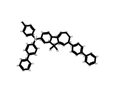 Cc1ccc(N(C2=CC3C(C=C2)C2=CCCC(c4ccc(-c5ccccc5)cc4)C=C2C3(C)C)c2ccc(-c3ccccc3)cc2)cc1